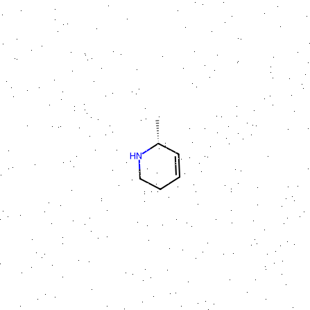 C[C@@H]1C=CCCN1